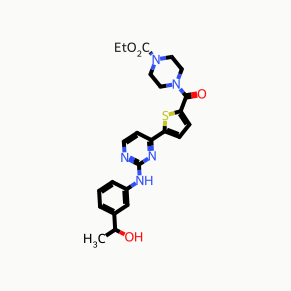 CCOC(=O)N1CCN(C(=O)c2ccc(-c3ccnc(Nc4cccc(C(C)O)c4)n3)s2)CC1